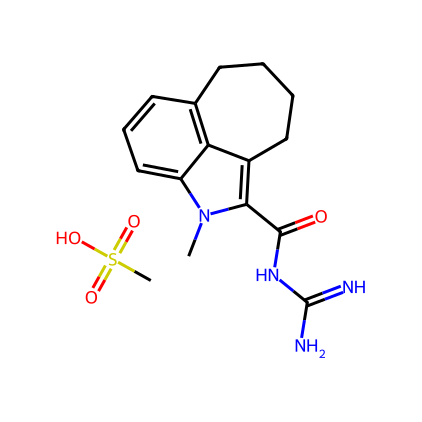 CS(=O)(=O)O.Cn1c(C(=O)NC(=N)N)c2c3c(cccc31)CCCC2